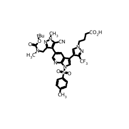 Cc1ccc(S(=O)(=O)n2cc(-c3cn(CCCC(=O)O)nc3C(F)(F)F)c3cc(-c4c(CN(C)C(=O)OC(C)(C)C)nn(C)c4C#N)cnc32)cc1